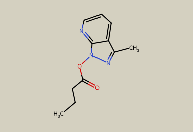 CCCC(=O)On1nc(C)c2cccnc21